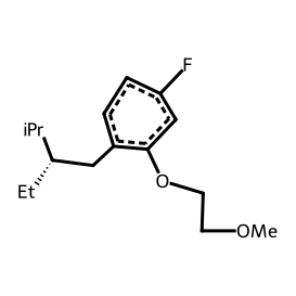 CC[C@@H](Cc1ccc(F)cc1OCCOC)C(C)C